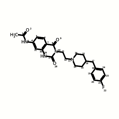 CC(=O)Nc1ccc2c(=O)n(CCN3CCC(Cc4ccc(F)cc4)CC3)c(=O)[nH]c2c1